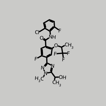 CC(O)c1nc(-c2cc(OC(C)C(F)(F)F)c(C(=O)Nc3c(F)cccc3Cl)cc2F)nn1C